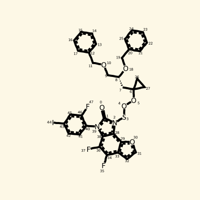 O=c1n(SOOC2(C[C@H](COCc3ccccc3)OCc3ccccc3)CC2)c2c3occc3c(F)c(F)c2n1-c1ccc(I)cc1F